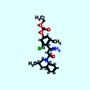 CCOC(=O)Oc1cc(C)c(C(N)CC(=O)N2CC(C)Cc3ccccc32)c(Br)c1